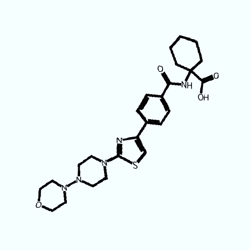 O=C(NC1(C(=O)O)CCCCC1)c1ccc(-c2csc(N3CCN(N4CCOCC4)CC3)n2)cc1